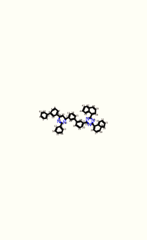 c1ccc(-c2cccc(-c3cc(-c4cccc(-c5cccc(-c6nc(-c7cccc8ccccc78)nc(-c7cccc8ccccc78)n6)c5)c4)nc(-c4ccccc4)n3)c2)cc1